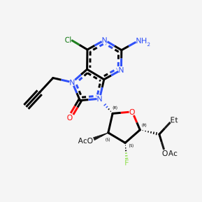 C#CCn1c(=O)n([C@@H]2O[C@H](C(CC)OC(C)=O)[C@H](F)[C@H]2OC(C)=O)c2nc(N)nc(Cl)c21